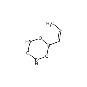 C/C=C\B1OBOBO1